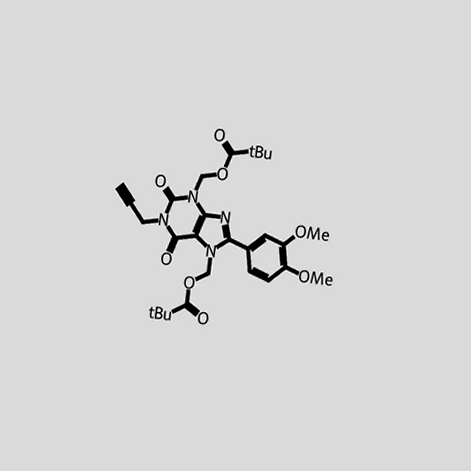 C#CCn1c(=O)c2c(nc(-c3ccc(OC)c(OC)c3)n2COC(=O)C(C)(C)C)n(COC(=O)C(C)(C)C)c1=O